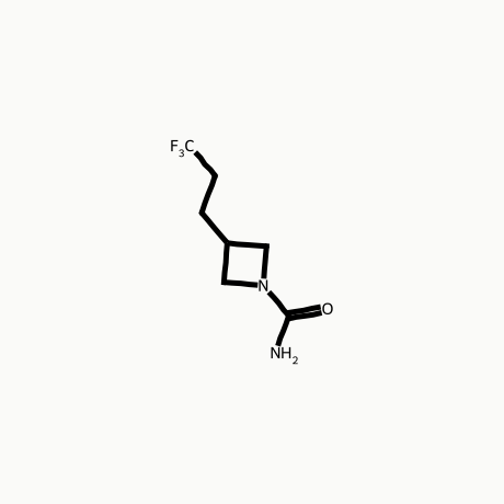 NC(=O)N1CC(CCC(F)(F)F)C1